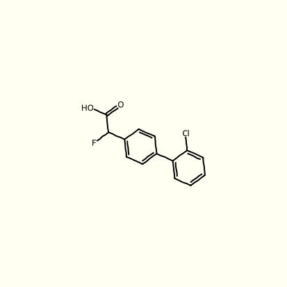 O=C(O)C(F)c1ccc(-c2ccccc2Cl)cc1